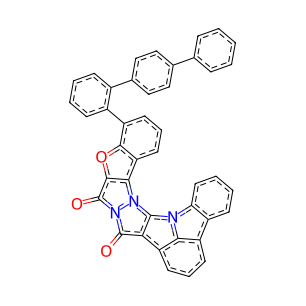 O=c1c2oc3c(-c4ccccc4-c4ccc(-c5ccccc5)cc4)cccc3c2n2c3c(c(=O)n12)c1cccc2c4ccccc4n3c21